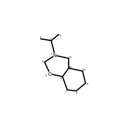 CC(C)N1COC2CCCCC2C1